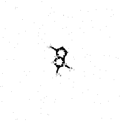 Cc1nn2c(N)ccc2n1N